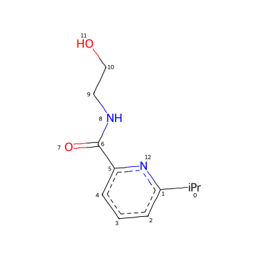 CC(C)c1cccc(C(=O)NCCO)n1